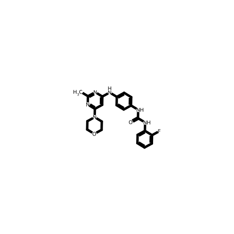 Cc1nc(Nc2ccc(NC(=O)Nc3ccccc3F)cc2)cc(N2CCOCC2)n1